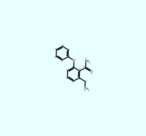 CCc1cccc(Oc2ccccc2)c1C(N)=O